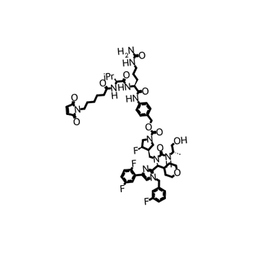 CC(C)[C@H](NC(=O)CCCCCN1C(=O)C=CC1=O)C(=O)N[C@@H](CCCNC(N)=O)C(=O)Nc1ccc(COC(=O)N2C[C@@H](CN(C(=O)N[C@@H](C)CO)[C@@H](c3nc(-c4cc(F)ccc4F)cn3Cc3cccc(F)c3)C3CCOCC3)[C@@H](F)C2)cc1